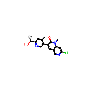 CC[C@H](O)c1cc(C)c(-c2cc3cnc(Cl)cc3n(C)c2=O)cn1